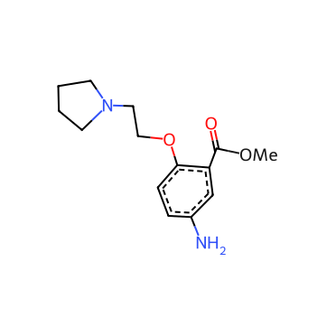 COC(=O)c1cc(N)ccc1OCCN1CCCC1